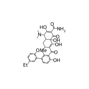 CCc1ccc(OC)c(-c2ccc(O)c3c2CC2CC4C(N(C)C)C(O)=C(C(N)=O)C(=O)C4(O)C(O)=C2C3=O)c1